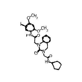 COc1cc(OC)c(NC(=O)CN2C(=O)N(CC(=O)NC3CCCC3)Cc3ccccc32)cc1I